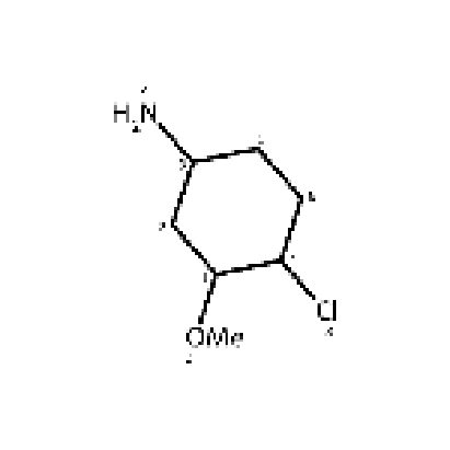 COC1CC(N)CCC1Cl